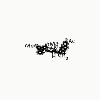 COc1ccc(C(OCCC(O)CCNC(=O)CC[C@@H](C)[C@H]2CCC3C4CCC5CC(OC(C)=O)CC[C@]5(C)C4CC[C@@]32C)(c2ccccc2)c2ccc(OC)cc2)cc1